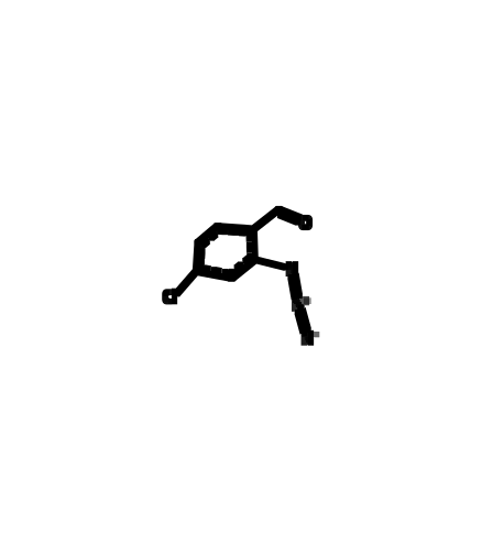 [N-]=[N+]=Nc1cc(Cl)ccc1C=O